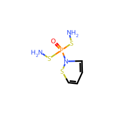 NSP(=O)(SN)N1C=CC=CS1